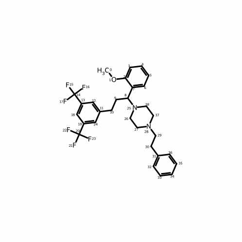 COc1ccccc1C([CH]Cc1cc(C(F)(F)F)cc(C(F)(F)F)c1)N1CCN(CCc2ccccc2)CC1